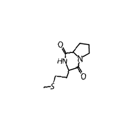 CSCCC1NC(=O)C2CCCN2C1=O